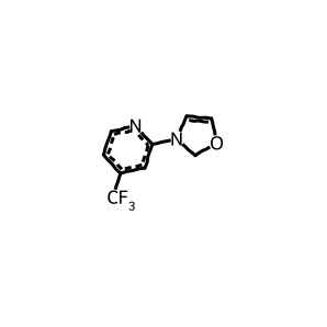 FC(F)(F)c1ccnc(N2C=COC2)c1